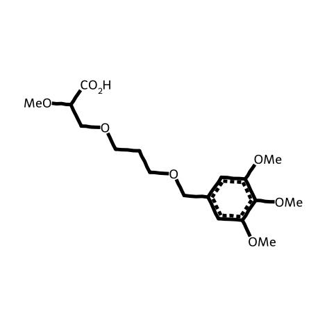 COc1cc(COCCCOCC(OC)C(=O)O)cc(OC)c1OC